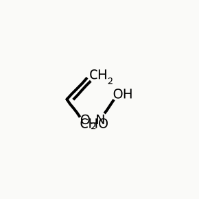 C=CC=O.O=[N+]([O-])O